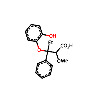 CCC(Oc1ccccc1O)(c1ccccc1)C(OC)C(=O)O